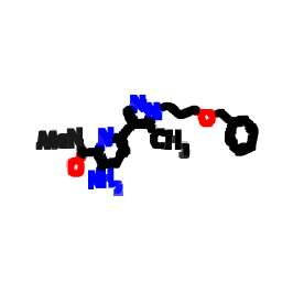 CNC(=O)c1nc(-c2cnn(CCCOCc3ccccc3)c2C)ccc1N